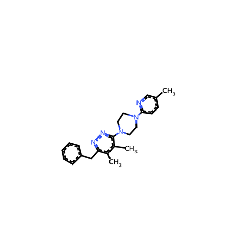 Cc1ccc(N2CCN(c3nnc(Cc4ccccc4)c(C)c3C)CC2)nc1